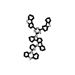 c1cc(N2c3ccccc3Sc3ccccc32)nc(-n2c3ccccc3c3ccc4c(c5ccccc5n4-c4nc(-c5ccc6sc7ccccc7c6c5)nc(-c5ccc6sc7ccccc7c6c5)n4)c32)c1